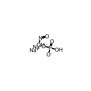 O=NO.O=P([O-])([O-])O.[Na+].[Na+]